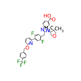 CC1(C)COCC1n1c(Cc2cc(F)c(-c3cccc(OCc4ccc(C(F)(F)F)cc4)n3)cc2F)nc2ccc(C(=O)O)cc21